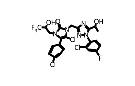 CC(O)c1nc(Cn2c(Cl)c(-c3ccc(Cl)cc3)n(CC(O)C(F)(F)F)c2=O)nn1-c1ccc(F)cc1Cl